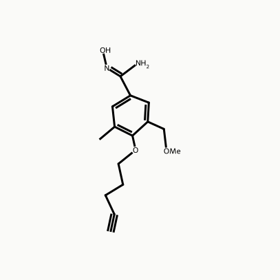 C#CCCCOc1c(C)cc(/C(N)=N/O)cc1COC